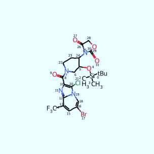 CC(C)(C)[Si](C)(C)OC1CN(C(=O)c2nc3c(C(F)(F)F)cc(Br)cn3c2Cl)CCC1N1C(=O)COC1=O